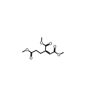 COC(=O)C=C(CCC(=O)OC)C(=O)OC